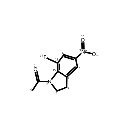 CC(=O)N1CCc2cc([N+](=O)[O-])cc(F)c21